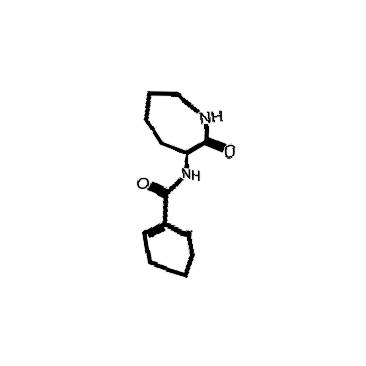 O=C(N[C@H]1CCCCNC1=O)C1=CCCCC1